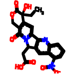 CC[C@@]1(O)C(=O)OCc2c1cc1n(c2=O)C(CC(=O)O)c2cc3c([N+](=O)[O-])cccc3nc2-1